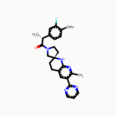 COc1ccc([C@@H](C)C(=O)N2CC[C@@]3(CCc4cc(-c5ncccn5)c(C)nc4N3)C2)cc1F